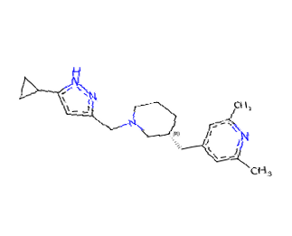 Cc1cc(C[C@H]2CCCN(Cc3cc(C4CC4)[nH]n3)C2)cc(C)n1